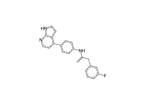 C=C(Cc1cccc(F)c1)Nc1ccc(-c2ccnc3[nH]ccc23)cc1